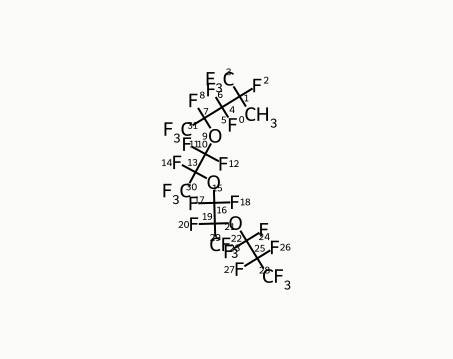 CC(F)(C(F)(F)F)C(F)(F)C(F)(OC(F)(F)C(F)(OC(F)(F)C(F)(OC(F)(F)C(F)(F)C(F)(F)F)C(F)(F)F)C(F)(F)F)C(F)(F)F